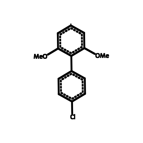 COc1c[c]cc(OC)c1-c1ccc(Cl)cc1